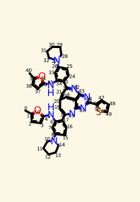 Cc1ccc(Nc2cc(N3CCCCC3)ccc2C2=CC3=CC(c4ccc(N5CCCCC5)cc4Nc4ccc(C)o4)=Nc4nc(-c5cccs5)nc(c4=C3)=N2)o1